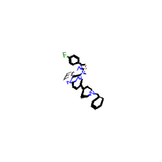 CCc1nc2ccc(C3CCN(Cc4ccccc4)CC3)cn2c1N(C)c1nc(-c2ccc(F)cc2)cs1